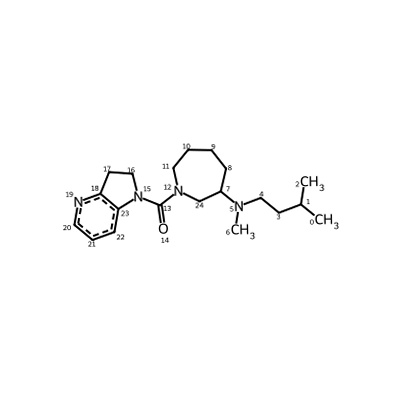 CC(C)CCN(C)C1CCCCN(C(=O)N2CCc3ncccc32)C1